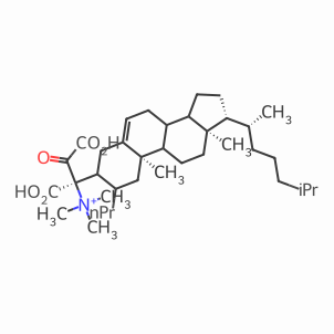 CCCC1C[C@@]2(C)C(=CCC3C2CC[C@@]2(C)C3CC[C@@H]2[C@H](C)CCCC(C)C)CC1[C@](C(=O)O)(C(=O)C(=O)O)[N+](C)(C)C